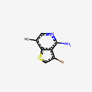 N#Cc1cnc(N)c2c(Br)csc12